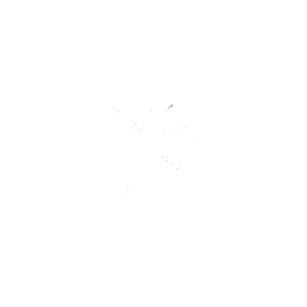 O=C1OC[C@H]([C@@H](Cc2ccccn2)NC(=O)c2cccc(F)c2-c2cc(-c3ccc(F)cc3)[nH]n2)O1